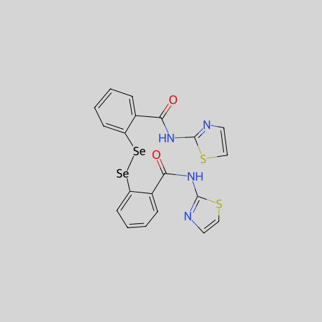 O=C(Nc1nccs1)c1ccccc1[Se][Se]c1ccccc1C(=O)Nc1nccs1